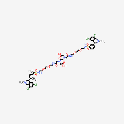 C=C(/C=C\C=C(/C)S(=O)(=O)NCCOCCOCCNC(=O)CN(CCN(CC(=O)O)CC(=O)NCCOCCOCCNS(=O)(=O)c1cccc([C@@H]2CN(C)Cc3c(Cl)cc(Cl)cc32)c1)CC(=O)O)[C@@H]1CN(C)Cc2c(Cl)cc(Cl)cc21